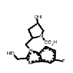 O=C(O)N1CC(O)CC1Cn1c(CO)nc2cc(F)ccc21